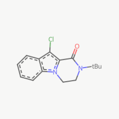 CC(C)(C)N1CCn2c(c(Cl)c3ccccc32)C1=O